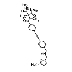 CNC(=O)[C@@](C)(C(=O)NO)N(C)C(=O)c1ccc(C#Cc2ccc(CNCc3ccc(C)o3)cc2)cc1